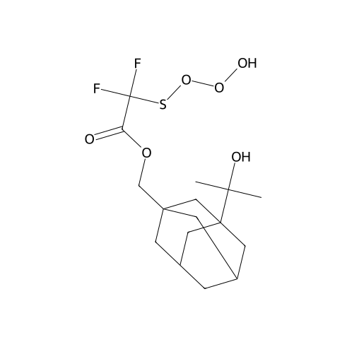 CC(C)(O)C12CC3CC(CC(COC(=O)C(F)(F)SOOO)(C3)C1)C2